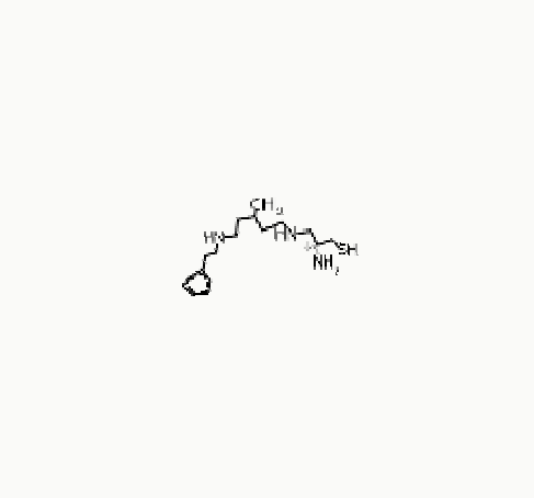 CC(CCNCCc1ccccc1)CCNC[C@@H](N)CS